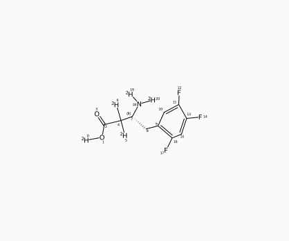 [2H]OC(=O)C([2H])([2H])[C@@H](Cc1cc(F)c(F)cc1F)N([2H])[2H]